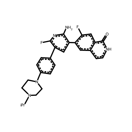 CC(C)N1CCN(c2ccc(-c3cc(-c4cc5cc[nH]c(=O)c5cc4F)c(N)nc3F)cc2)CC1